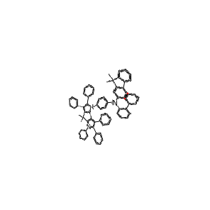 CC1(C)c2ccccc2-c2ccc(N(c3ccc(-n4c(-c5ccccc5)c(-c5ccccc5)c5c4-c4c(-c6ccccc6)c(-c6ccccc6)n(-c6ccccc6)c4C5(C)C)cc3)c3ccccc3-c3ccccc3)cc21